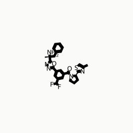 Cc1csc([C@H]2CCCN2C(=O)c2cc(-c3nnc([C@](C)(N)Cc4ccccc4)o3)cc(C(F)F)c2)n1